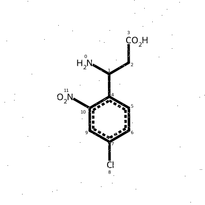 NC(CC(=O)O)c1ccc(Cl)cc1[N+](=O)[O-]